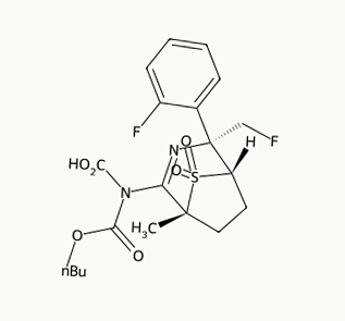 CCCCOC(=O)N(C(=O)O)C1=N[C@@](CF)(c2ccccc2F)[C@@H]2CC[C@@]1(C)S2(=O)=O